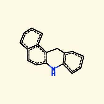 c1ccc2c(c1)Cc1c(ccc3ccccc13)N2